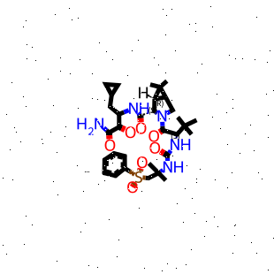 CC(C)(CS(=O)(=O)c1ccccc1)NC(=O)N[C@H](C(=O)N1CC2[C@@H]([C@H]1C(=O)NC(CC1CC1)C(=O)C(N)=O)C2(C)C)C(C)(C)C